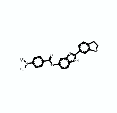 CN(C)c1ccc(C(=O)Nc2ccc3[nH]c(-c4ccc5c(c4)NCC5)nc3c2)cc1